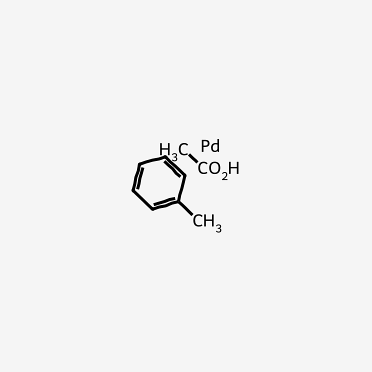 CC(=O)O.Cc1ccccc1.[Pd]